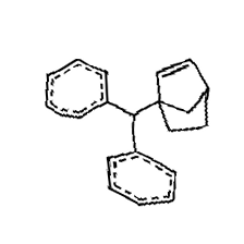 C1=CC2(C(c3ccccc3)c3ccccc3)CCC1C2